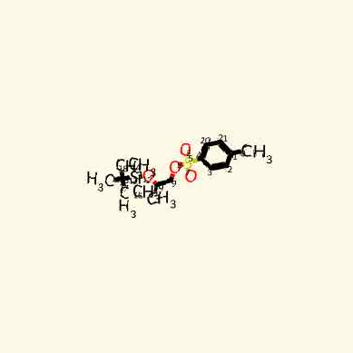 Cc1ccc(S(=O)(=O)OC[C@@H](C)O[Si](C)(C)C(C)(C)C)cc1